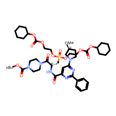 CCCCOC(=O)N1CCN(C(=O)[C@H](CP(=O)(OCCOC(=O)OC2CCCCC2)OCCOC(=O)OC2CCCCC2)NC(=O)c2cc(N3CC[C@H](OC)C3)nc(-c3ccccc3)n2)CC1